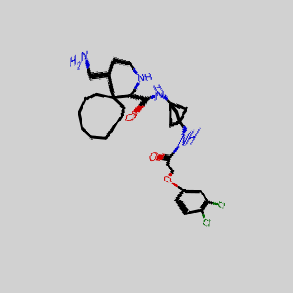 NCC1CCNC(C(=O)NC23CC(NC(=O)COc4ccc(Cl)c(Cl)c4)(C2)C3)C12CCCCCCCCC2